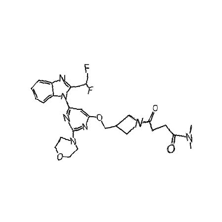 CN(C)C(=O)CCC(=O)N1CC(COc2cc(-n3c(C(F)F)nc4ccccc43)nc(N3CCOCC3)n2)C1